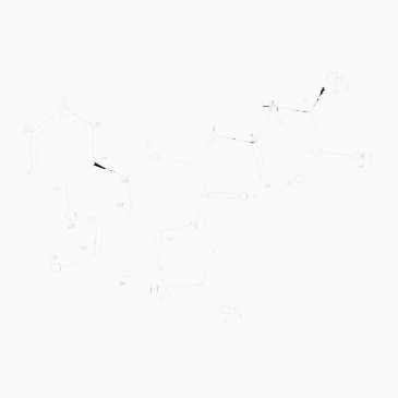 CC(C)CN1C(=O)[C@@H](CC(=O)N[C@@H](C)C(=O)O)O[C@H](c2ccccc2Cl)c2cc(Cl)ccc21